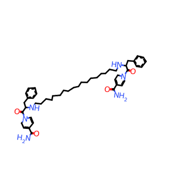 NC(=O)C1=CCN(C(=O)C(Cc2ccccc2)NCCCCCCCCCCCCCCCCCCNC(Cc2ccccc2)C(=O)N2C=CC(C(N)=O)=CC2)C=C1